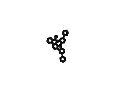 O=c1c2ccccc2c2ccc3c4cc(-c5ccccc5)ccc4n4c5ccc(-c6ccccc6)cc5n1c2c34